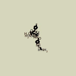 C[C@]1(C(N)=O)COc2c1cc([C@@](O)(CNC(=O)c1ccc3nc(NCCN)sc3c1)C(F)(F)F)nc2-c1ccc(F)cc1